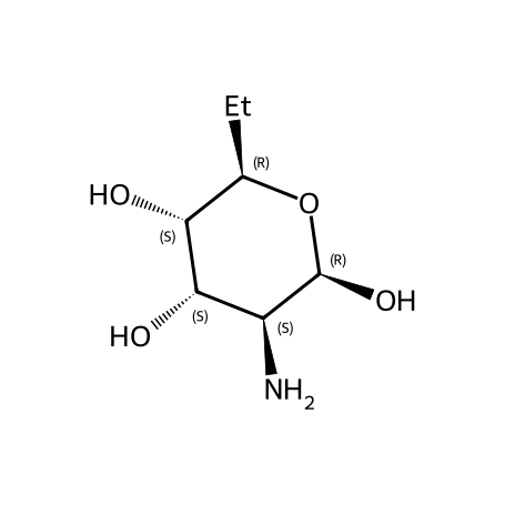 CC[C@H]1O[C@@H](O)[C@@H](N)[C@H](O)[C@@H]1O